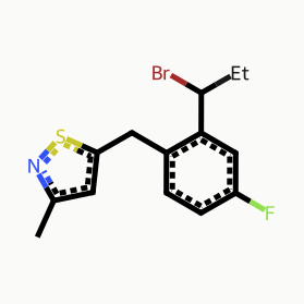 CCC(Br)c1cc(F)ccc1Cc1cc(C)ns1